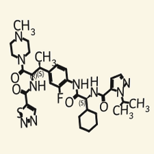 CC(C)n1nccc1C(=O)N[C@H](C(=O)Nc1ccc([C@H](C)[C@@H](NC(=O)c2cnns2)C(=O)N2CCN(C)CC2)cc1F)C1CCCCC1